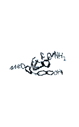 CCN(Cc1ccc(OCCN)c(F)c1)c1cc(OC)ccc1[C@@H]1CCc2cc(O)ccc2C1